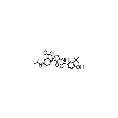 COC(=O)[C@H]1C[C@H](N(C)C(C)C)CC[C@@H]1N1CCC(NC(=O)c2ccc(O)c(C(C)(C)C)c2)C1=O